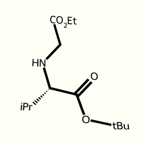 CCOC(=O)CN[C@H](C(=O)OC(C)(C)C)C(C)C